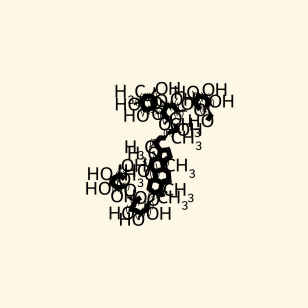 C[C@H]1[C@H](O)[C@@H](O)[C@H](O[C@H]2[C@H](O[C@H](CC[C@@H](C)C3CC[C@@]4(C)C5CC=C6C(CC[C@H](O[C@@H]7O[C@H](CO[C@H]8O[C@H](CO)[C@@H](O)[C@H](O)[C@H]8O)[C@@H](O)[C@H](O)[C@H]7O)C6(C)C)[C@]5(C)[C@H](O)C[C@]34C)C(C)(C)O)O[C@H](CO[C@@H]3O[C@H](CO)[C@@H](O)[C@H](O)[C@H]3O)[C@@H](O)[C@@H]2O)O[C@@H]1CO